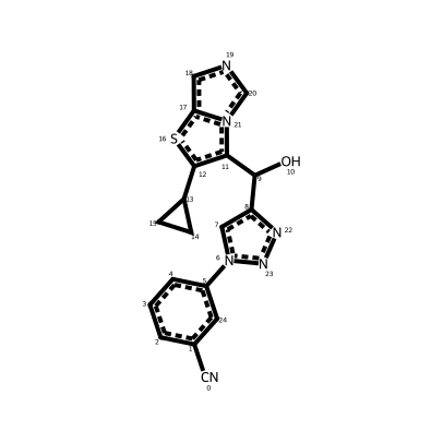 N#Cc1cccc(-n2cc(C(O)c3c(C4CC4)sc4cncn34)nn2)c1